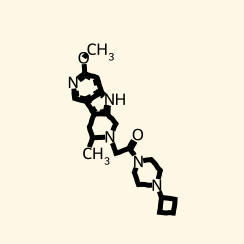 COc1cc2[nH]c3c(c2cn1)CC(C)N(CC(=O)N1CCN(C2CCC2)CC1)C3